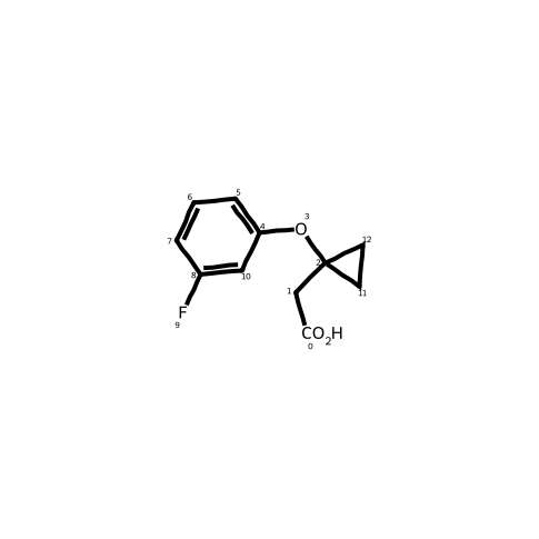 O=C(O)CC1(Oc2cccc(F)c2)CC1